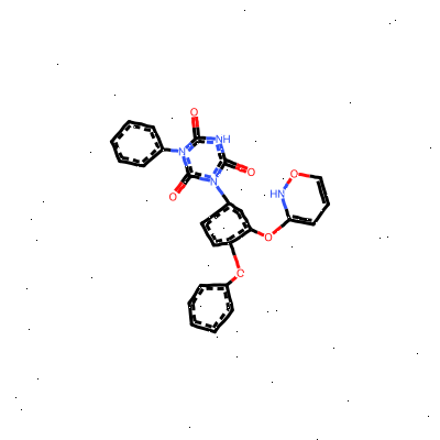 O=c1[nH]c(=O)n(-c2ccc(Oc3ccccc3)c(OC3=CC=CON3)c2)c(=O)n1-c1ccccc1